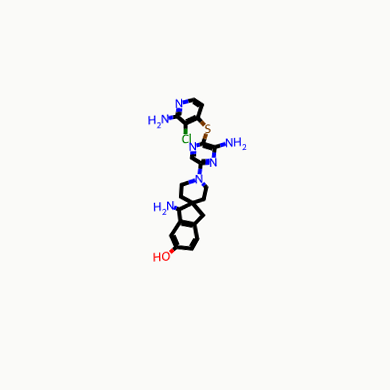 Nc1nc(N2CCC3(CC2)Cc2ccc(O)cc2C3N)cnc1Sc1ccnc(N)c1Cl